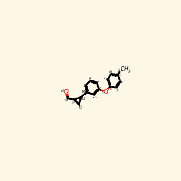 Cc1ccc(Oc2cccc(C3CC3C=O)c2)cc1